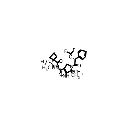 CC1(C)c2[nH]nc(NC(=O)C3(S(C)(C)C)CCC3)c2CN1C(=O)[C@H](OC(F)F)c1ccccc1